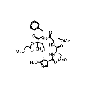 COCC(=O)OC(C)(CI)C(=O)[C@H](Cc1ccccc1)NC(=O)[C@H](COC)NC(=O)[C@H](COC)NC(=O)c1cnc(C)s1